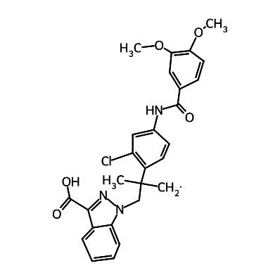 [CH2]C(C)(Cn1nc(C(=O)O)c2ccccc21)c1ccc(NC(=O)c2ccc(OC)c(OC)c2)cc1Cl